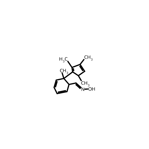 CC1=CC(C)C(C2(C)C=CC=CC2/C=N/O)=C1C